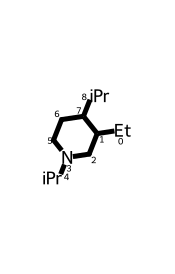 CCC1CN(C(C)C)CCC1C(C)C